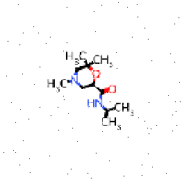 CC(C)NC(=O)[C@H]1CN(C)CC(C)(C)O1